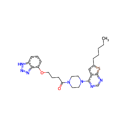 CCCCCc1cc2c(N3CCN(C(=O)CCCOc4cccc5[nH]nnc45)CC3)ncnc2s1